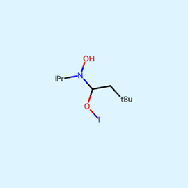 CC(C)N(O)C(CC(C)(C)C)OI